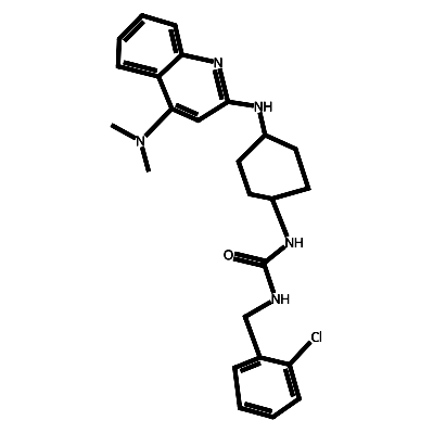 CN(C)c1cc(NC2CCC(NC(=O)NCc3ccccc3Cl)CC2)nc2ccccc12